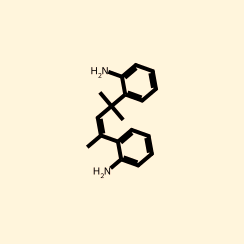 CC(=CC(C)(C)c1ccccc1N)c1ccccc1N